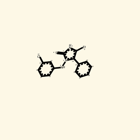 CCc1[nH]c(=S)n(Nc2cccc(Cl)c2)c1-c1ccccc1